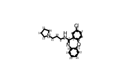 Clc1ccc2c(c1)C(NCCCN1CCCC1)=Nc1ccccc1O2